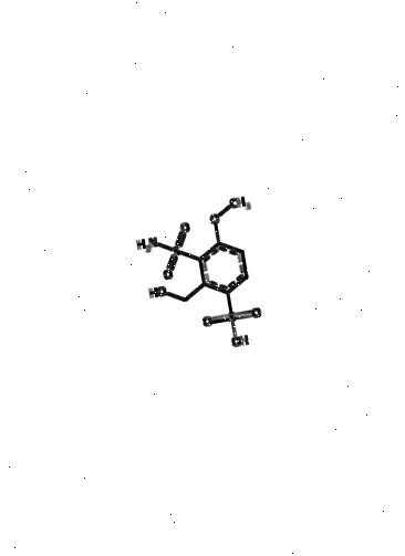 COc1ccc(S(=O)(=O)O)c(CO)c1S(N)(=O)=O